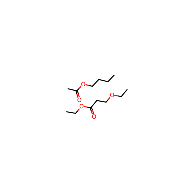 CCCCOC(C)=O.CCOCCC(=O)OCC